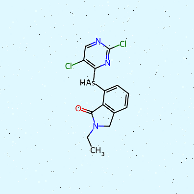 CCN1Cc2cccc([AsH]c3nc(Cl)ncc3Cl)c2C1=O